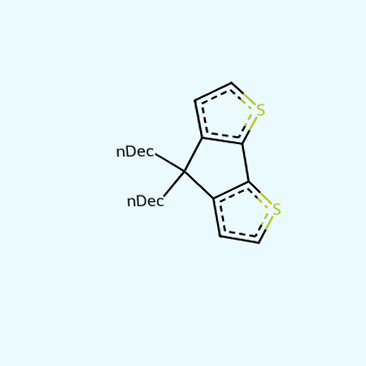 CCCCCCCCCCC1(CCCCCCCCCC)c2ccsc2-c2sccc21